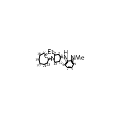 CCC1C[C@H](Nc2ccccc2NC)CCN1C1CCCCCCC1